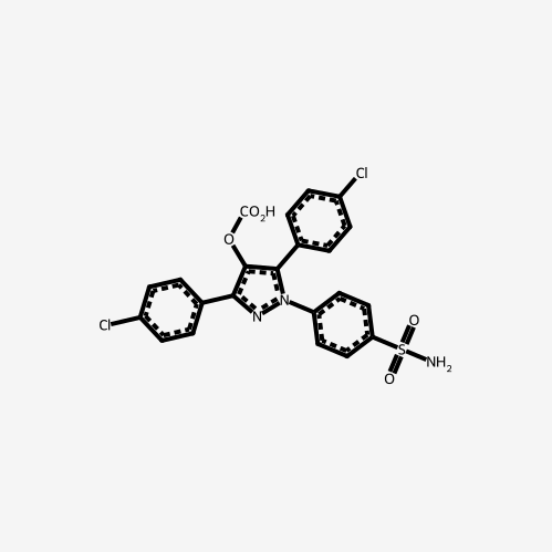 NS(=O)(=O)c1ccc(-n2nc(-c3ccc(Cl)cc3)c(OC(=O)O)c2-c2ccc(Cl)cc2)cc1